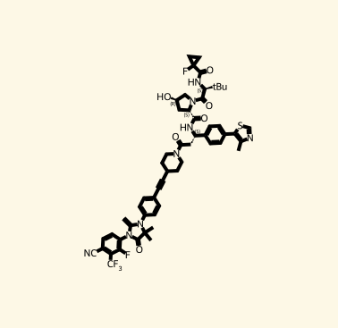 C=C1N(c2ccc(C#N)c(C(F)(F)F)c2F)C(=O)C(C)(C)N1c1ccc(C#CC2CCN(C(=O)C[C@H](NC(=O)[C@@H]3C[C@@H](O)CN3C(=O)[C@@H](NC(=O)C3(F)CC3)C(C)(C)C)c3ccc(-c4scnc4C)cc3)CC2)cc1